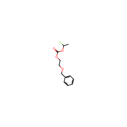 CC(F)OC(=O)OCCOCc1ccccc1